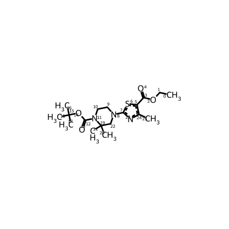 CCOC(=O)c1sc(N2CCN(C(=O)OC(C)(C)C)C(C)(C)C2)nc1C